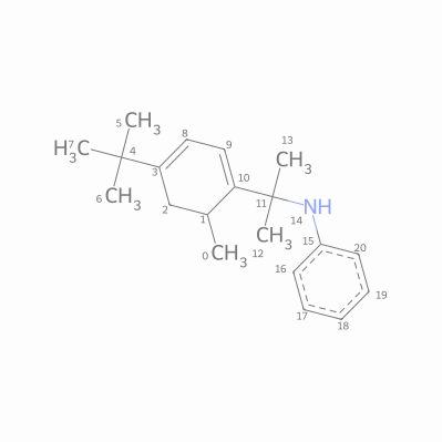 CC1CC(C(C)(C)C)=CC=C1C(C)(C)Nc1ccccc1